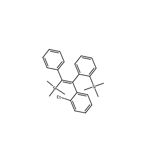 CCc1ccccc1C(=C(c1ccccc1)[Si](C)(C)C)c1ccccc1[Si](C)(C)C